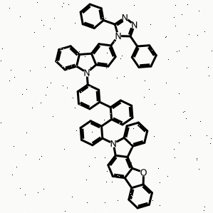 c1ccc(-c2nnc(-c3ccccc3)n2-c2ccc3c(c2)c2ccccc2n3-c2cccc(-c3ccccc3-c3ccccc3-n3c4ccccc4c4c5oc6ccccc6c5ccc43)c2)cc1